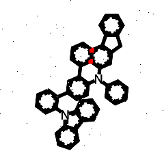 c1ccc(-c2cc(-c3ccccc3-n3c4ccccc4c4ccccc43)ccc2N(c2ccccc2)c2ccc3c(c2)Cc2ccccc2-3)cc1